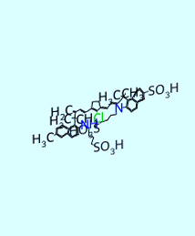 C=C(/C=C/C1=C(Cl)C(=C/C=C2\N(CCCCS(=O)(=O)O)c3ccc4cc(S(=O)(=O)O)ccc4c3C2(C)C)/CC1)C(C)(C)c1c(NCCCCS(=O)(=O)O)ccc2cc(C)ccc12